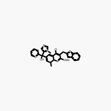 COC1=NC2C(=CC(C(O)(c3ccccn3)c3cncn3C)=CC2C)C(Cl)=C1Cc1cc2ccccc2s1